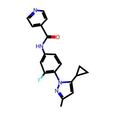 Cc1cc(C2CC2)n(-c2ccc(NC(=O)c3ccncc3)cc2F)n1